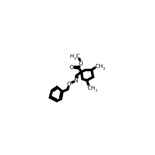 COC(=O)C1(C=NOCc2ccccc2)CC(C)CC(C)C1